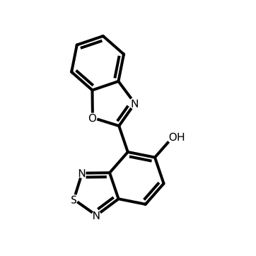 Oc1ccc2nsnc2c1-c1nc2ccccc2o1